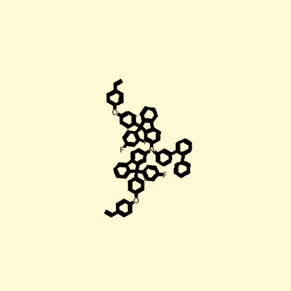 C=Cc1ccc(Oc2ccc(C3(c4ccc(F)cc4F)C4=C(CCC=C4)c4ccc(N(c5cccc(-c6ccccc6-c6ccccc6)c5)c5ccc6c(c5)C(c5ccc(Oc7ccc(C=C)cc7)cc5)(c5ccc(F)cc5F)c5ccccc5-6)cc43)cc2)cc1